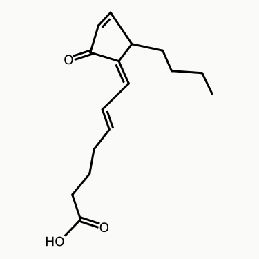 CCCCC1C=CC(=O)C1=CC=CCCCC(=O)O